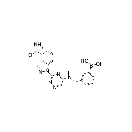 NC(=O)c1cccc2c1cnn2-c1nncc(NCc2cccc(B(O)O)c2)n1